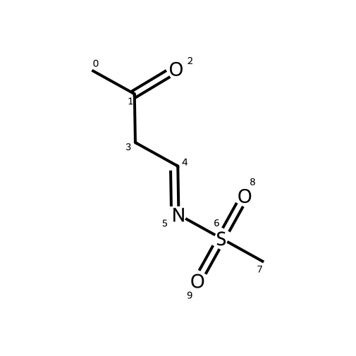 CC(=O)CC=NS(C)(=O)=O